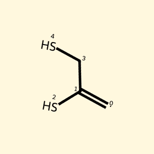 [CH]=C(S)CS